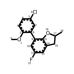 COc1ccc(Cl)cc1-c1cc(F)cc2c1OC(C)C2